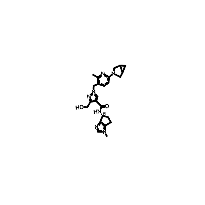 Cc1nc(N2CC3CC3C2)ccc1Cn1cc(C(=O)N[C@@H]2CCc3c2ncn3C)c(CO)n1